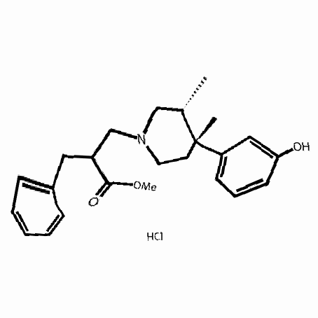 COC(=O)C(Cc1ccccc1)CN1CC[C@@](C)(c2cccc(O)c2)[C@@H](C)C1.Cl